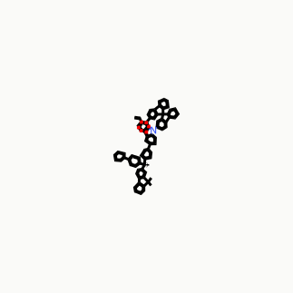 C=Cc1ccccc1-c1ccc2c(c1)C1(c3ccccc3-2)c2ccccc2-c2ccc(-n3c4ccccc4c4cc(-c5ccc([C@@](C)(c6ccc(-c7ccccc7)cc6)c6ccc7c(c6)C(C)(C)c6ccccc6-7)cc5)ccc43)cc21